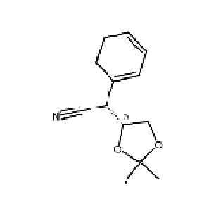 CC1(C)OC[C@@H](C(C#N)C2=CC=CCC2)O1